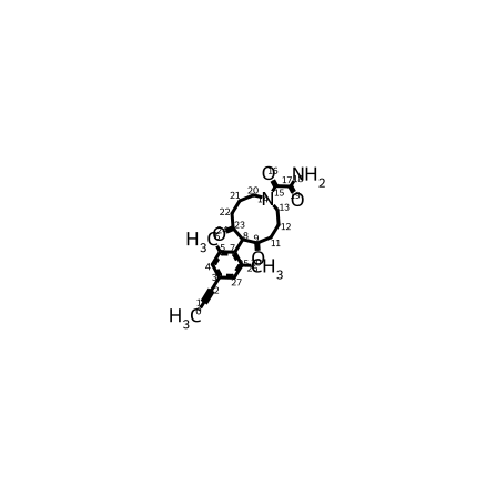 CC#Cc1cc(C)c(C2C(=O)CCCN(C(=O)C(N)=O)CCCC2=O)c(C)c1